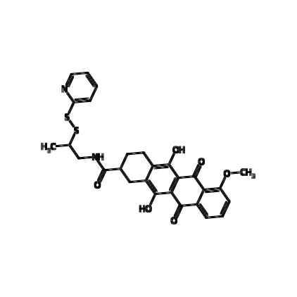 COc1cccc2c1C(=O)c1c(O)c3c(c(O)c1C2=O)CC(C(=O)NCC(C)SSc1ccccn1)CC3